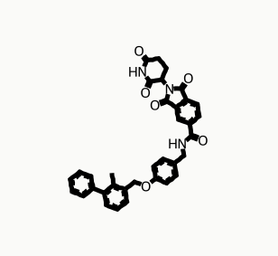 Cc1c(COc2ccc(CNC(=O)c3ccc4c(c3)C(=O)N(C3CCC(=O)NC3=O)C4=O)cc2)cccc1-c1ccccc1